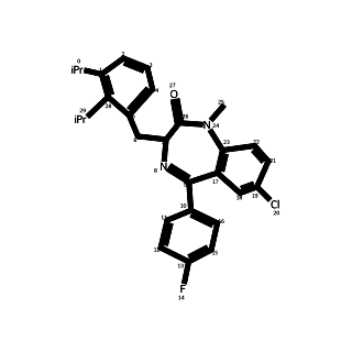 CC(C)c1cccc(CC2N=C(c3ccc(F)cc3)c3cc(Cl)ccc3N(C)C2=O)c1C(C)C